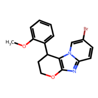 COc1ccccc1C1CCOc2nc3ccc(Br)cn3c21